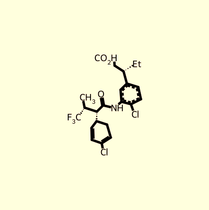 CC[C@@H](CC(=O)O)c1ccc(Cl)c(NC(=O)[C@H](C2C=CC(Cl)=CC2)[C@@H](C)C(F)(F)F)c1